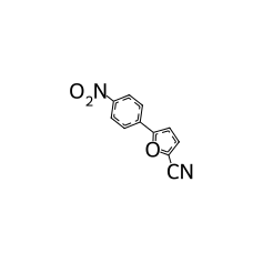 N#Cc1ccc(-c2ccc([N+](=O)[O-])cc2)o1